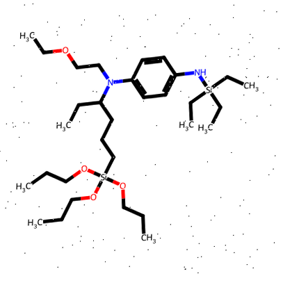 CCCO[Si](CCCC(CC)N(CCOCC)c1ccc(N[Si](CC)(CC)CC)cc1)(OCCC)OCCC